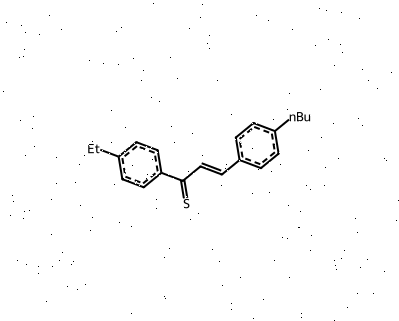 CCCCc1ccc(C=CC(=S)c2ccc(CC)cc2)cc1